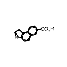 O=C(O)c1ccc2c3c(ccc2c1)N=CC3